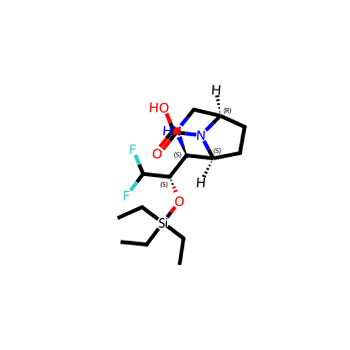 CC[Si](CC)(CC)O[C@H](C(F)F)[C@H]1NC[C@H]2CC[C@@H]1N2C(=O)O